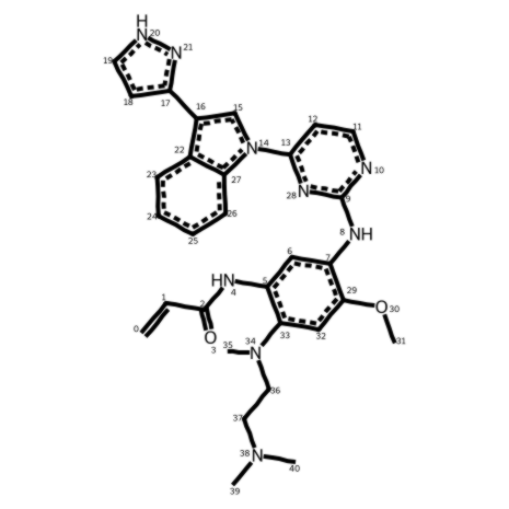 C=CC(=O)Nc1cc(Nc2nccc(-n3cc(-c4cc[nH]n4)c4ccccc43)n2)c(OC)cc1N(C)CCN(C)C